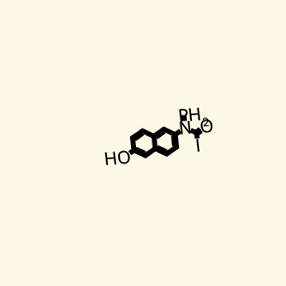 O=C(I)N(P)c1ccc2cc(O)ccc2c1